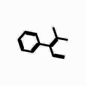 C=CC(=C(C)C)c1ccccc1